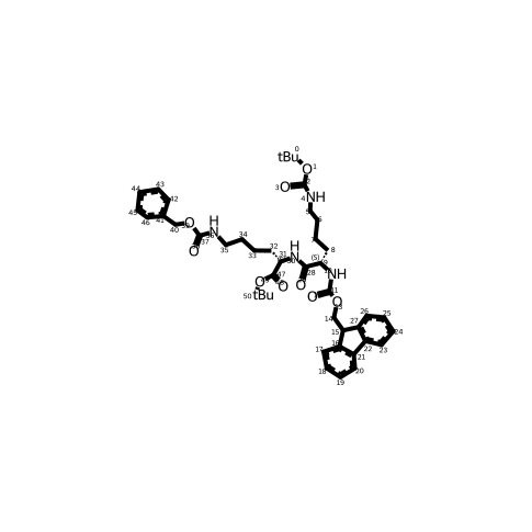 CC(C)(C)OC(=O)NCCCC[C@H](NC(=O)OCC1c2ccccc2-c2ccccc21)C(=O)N[C@@H](CCCCNC(=O)OCc1ccccc1)C(=O)OC(C)(C)C